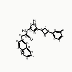 Cc1cccc(C2CC(c3cc(NC(=O)Cc4ccc5ncccc5c4)n[nH]3)C2)c1